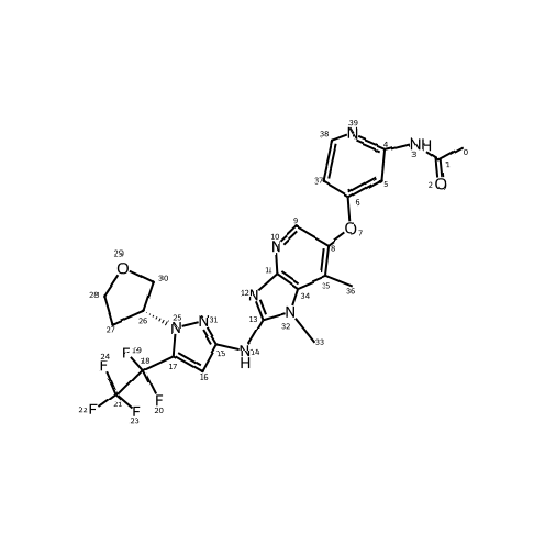 CC(=O)Nc1cc(Oc2cnc3nc(Nc4cc(C(F)(F)C(F)(F)F)n([C@@H]5CCOC5)n4)n(C)c3c2C)ccn1